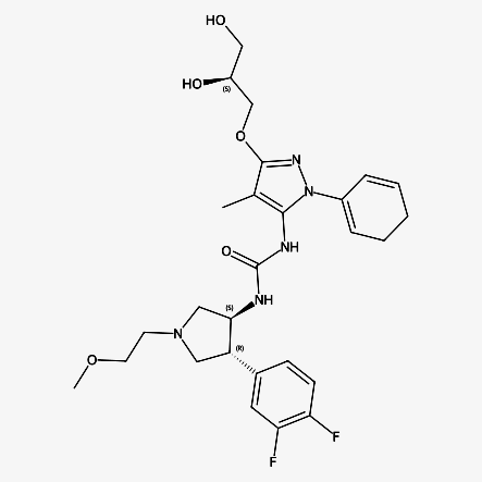 COCCN1C[C@@H](NC(=O)Nc2c(C)c(OC[C@@H](O)CO)nn2C2=CCCC=C2)[C@H](c2ccc(F)c(F)c2)C1